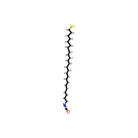 O=C=NCCCCCCCCCCCCCCCCCCCCCCCCS